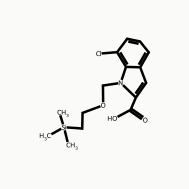 C[Si](C)(C)CCOCn1c(C(=O)O)cc2cccc(Cl)c21